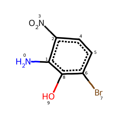 Nc1c([N+](=O)[O-])ccc(Br)c1O